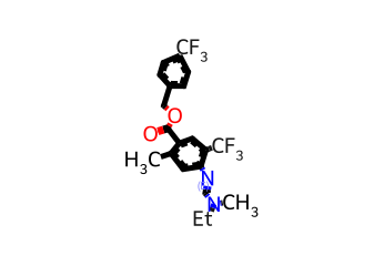 CCN(C)/C=N/c1cc(C)c(C(=O)OCc2ccc(C(F)(F)F)cc2)cc1C(F)(F)F